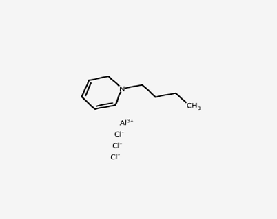 CCCCN1C=CC=CC1.[Al+3].[Cl-].[Cl-].[Cl-]